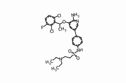 CCN(CC)CCS(=O)(=O)Nc1ccc(-c2cnc(N)c(OC(C)c3c(Cl)ccc(F)c3Cl)c2)cc1